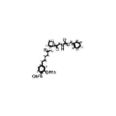 COc1ccc(CCCCC(=O)C[C@@H]2CCCN2C(=O)CNC(=O)OCc2ccccc2)cc1OC